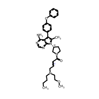 CCCCN(C/C=C/C(=O)N1CC[C@@H](n2c(C)c(-c3ccc(Oc4ccccc4)cc3)c3c(N)ncnc32)C1)CCOC